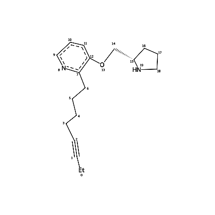 CCC#CCCCCc1ncccc1OC[C@@H]1CCCN1